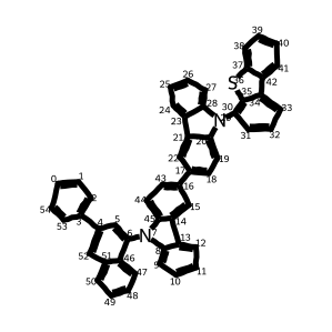 c1ccc(-c2cc(-n3c4ccccc4c4cc(-c5ccc6c(c5)c5ccccc5n6-c5cccc6c5sc5ccccc56)ccc43)c3ccccc3c2)cc1